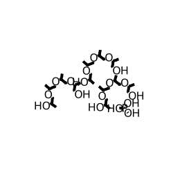 CC(O)COC(C)COC(C)COC(C)CO.CC(O)COC(C)COC(C)COC(C)CO.CC(O)COC(C)COC(C)COC(C)CO.OP(O)O